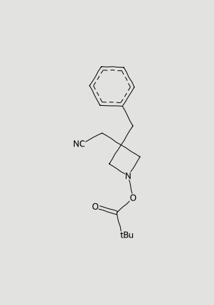 CC(C)(C)C(=O)ON1CC(CC#N)(Cc2ccccc2)C1